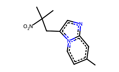 Cc1ccn2c(CC(C)(C)[N+](=O)[O-])cnc2c1